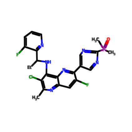 CCC(Nc1c(Cl)c(C)nc2cc(F)c(-c3cnc(P(C)(C)=O)nc3)nc12)c1ncccc1F